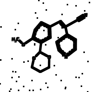 COc1ccc(/C=C(/C#N)c2ccncc2)cc1C1OCCCO1